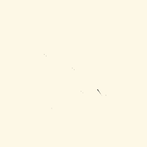 CC(C)(C)c1cn(C[C@H]2CCCO2)c(=NC(=O)c2cc(C(F)(F)F)ccc2OCc2cccc[n+]2[O-])s1